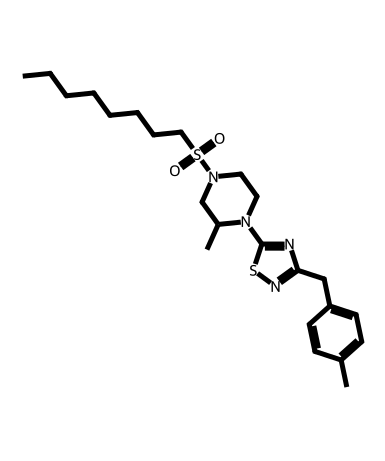 CCCCCCCCS(=O)(=O)N1CCN(c2nc(Cc3ccc(C)cc3)ns2)C(C)C1